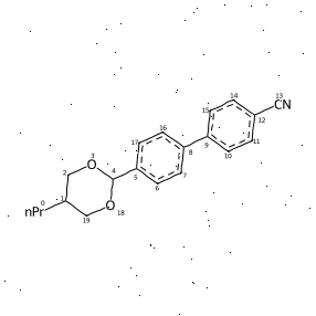 CCCC1COC(c2ccc(-c3ccc(C#N)cc3)cc2)OC1